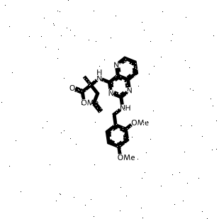 C=CCC(C)(Nc1nc(NCc2ccc(OC)cc2OC)nc2cccnc12)C(=O)OC